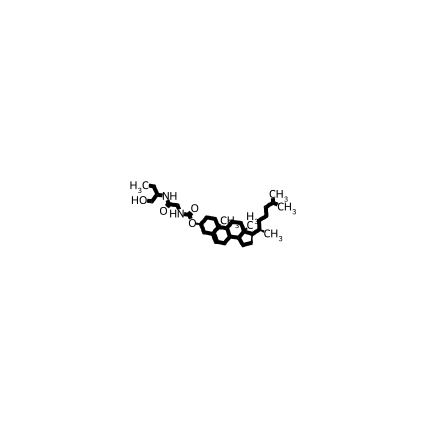 CCC(CO)NC(=O)CNC(=O)O[C@H]1CC[C@@]2(C)C(=CCC3C2CC[C@@]2(C)C3CC[C@@H]2[C@H](C)CCCC(C)C)C1